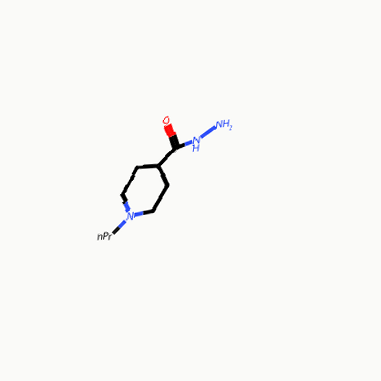 CCCN1CCC(C(=O)NN)CC1